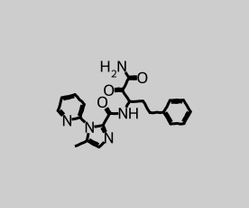 Cc1cnc(C(=O)NC(CCc2ccccc2)C(=O)C(N)=O)n1-c1ccccn1